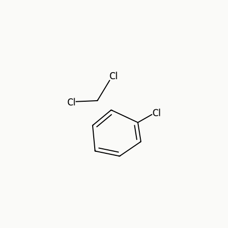 ClCCl.Clc1ccccc1